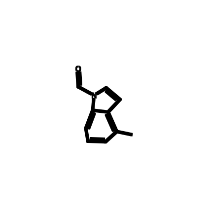 Cc1cccc2c1ccn2C=O